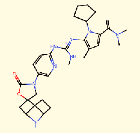 C=C(c1cc(C)c(/N=C(\NC)Nc2ccc(N3CC4(CC5NC6CCC654)OC3=O)cn2)n1C1CCCC1)N(C)C